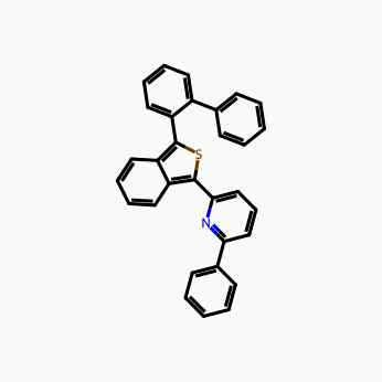 c1ccc(-c2cccc(-c3sc(-c4ccccc4-c4ccccc4)c4ccccc34)n2)cc1